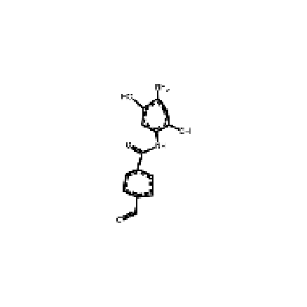 Nc1cc(O)c(NC(=O)c2ccc(C=O)cc2)cc1O